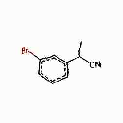 CC(C#N)c1cccc(Br)c1